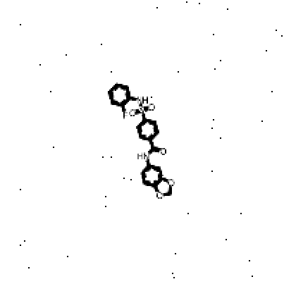 O=C(Nc1ccc2c(c1)OCO2)c1ccc(S(=O)(=O)Nc2ccccc2F)cc1